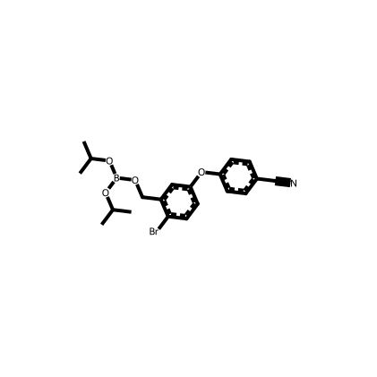 CC(C)OB(OCc1cc(Oc2ccc(C#N)cc2)ccc1Br)OC(C)C